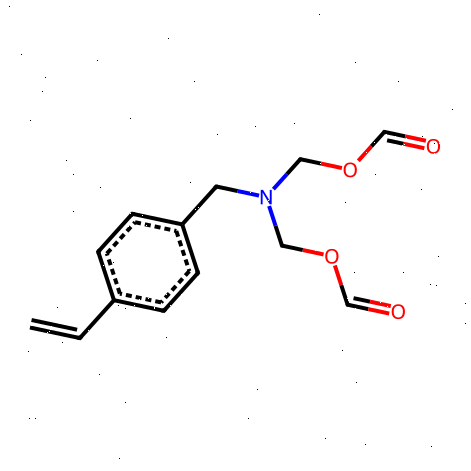 C=Cc1ccc(CN(COC=O)COC=O)cc1